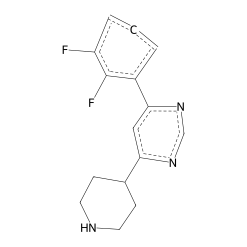 Fc1cccc(-c2cc(C3CCNCC3)ncn2)c1F